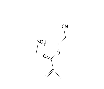 C=C(C)C(=O)OCCC#N.CS(=O)(=O)O